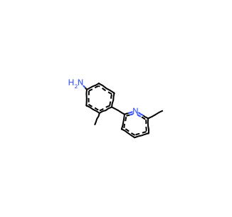 Cc1cccc(-c2ccc(N)cc2C)n1